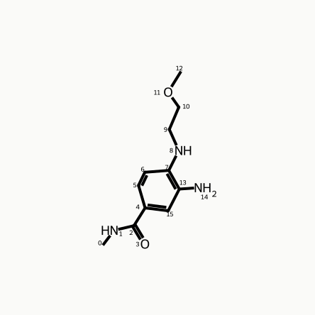 CNC(=O)c1ccc(NCCOC)c(N)c1